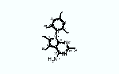 Cc1cc(C)c(-n2c(C)c(C)c3c(N)nc(C)nc32)c(C)c1